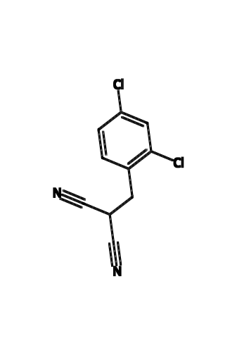 N#CC(C#N)Cc1ccc(Cl)cc1Cl